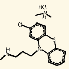 CNC.CNCCCN1c2ccccc2Sc2ccc(Cl)cc21.Cl